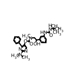 CN(CC(O)c1cccc(NC(=O)NC(C)(C)C)c1)C(=O)Oc1cnc(N(C)C)nc1-c1ccccc1